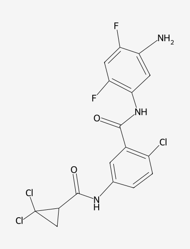 Nc1cc(NC(=O)c2cc(NC(=O)C3CC3(Cl)Cl)ccc2Cl)c(F)cc1F